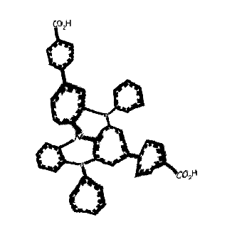 O=C(O)c1ccc(-c2ccc3c(c2)B(c2ccccc2)c2cc(-c4ccc(C(=O)O)cc4)cc4c2N3c2ccccc2B4c2ccccc2)cc1